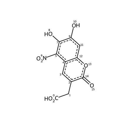 O=C(O)Cc1cc2c([N+](=O)[O-])c(O)c(O)cc2oc1=O